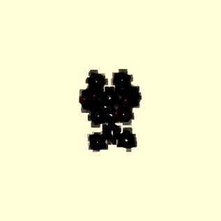 c1ccc(-c2cc(-c3ccc(-c4c(-n5c6ccccc6c6ccccc65)c(-n5c6ccccc6c6ccccc65)nc(-n5c6ccccc6c6ccccc65)c4-n4c5ccccc5c5ccccc54)cc3)nc(-c3ccccc3)n2)cc1